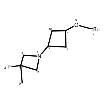 CC1(F)CN(C2CC(OC(C)(C)C)C2)C1